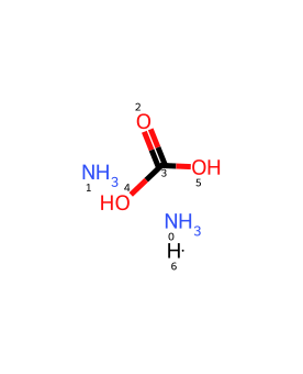 N.N.O=C(O)O.[H]